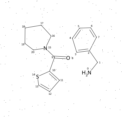 NCc1ccccc1.O=C(c1cccs1)N1CCCCC1